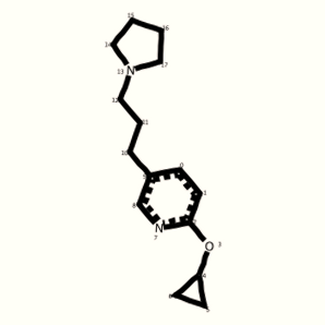 c1cc(OC2CC2)ncc1CCCN1CCCC1